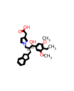 CCc1c(OC)cc([C@@H](O)[C@@H](CC2Cc3ccccc3C2)Cn2ccc(CC(=O)O)c2)cc1OC